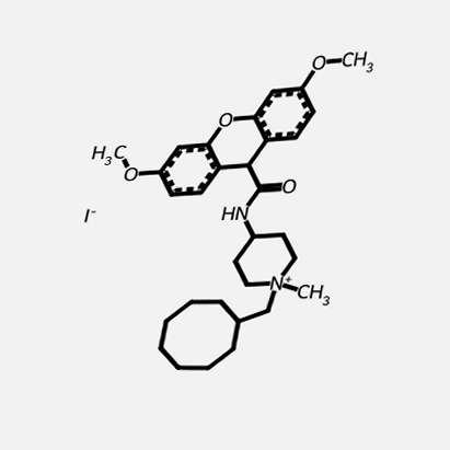 COc1ccc2c(c1)Oc1cc(OC)ccc1C2C(=O)NC1CC[N+](C)(CC2CCCCCCC2)CC1.[I-]